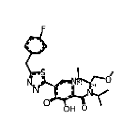 COC[C@@H]1[C@H](C)n2cc(-c3nnc(Cc4ccc(F)cc4)s3)c(=O)c(O)c2C(=O)N1C(C)C